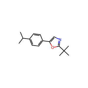 CC(C)c1ccc(-c2cnc(C(C)(C)C)o2)cc1